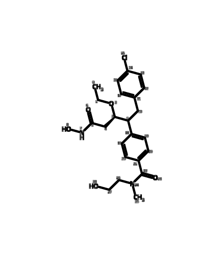 CCO[C@H](CC(=O)NO)C(Cc1ccc(Cl)cc1)c1ccc(C(=O)N(C)CCO)cc1